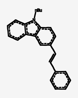 CCCCn1c2ccccc2c2cc(C=Cc3ccccc3)ccc21